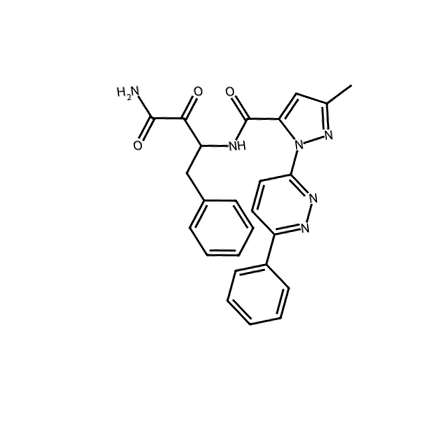 Cc1cc(C(=O)NC(Cc2ccccc2)C(=O)C(N)=O)n(-c2ccc(-c3ccccc3)nn2)n1